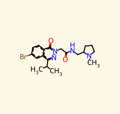 CC(C)c1nn(CC(=O)NCC2CCCN2C)c(=O)c2ccc(Br)cc12